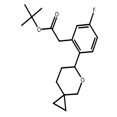 CC(C)(C)OC(=O)Cc1cc(F)ccc1C1CCC2(CC2)CO1